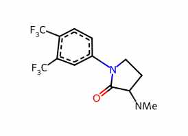 CNC1CCN(c2ccc(C(F)(F)F)c(C(F)(F)F)c2)C1=O